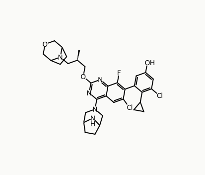 C[C@@H](COc1nc(N2CC3CCC(C2)N3)c2cc(Cl)c(-c3cc(O)cc(Cl)c3C3CC3)c(F)c2n1)CN1C2CCC1COC2